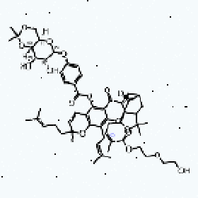 CC(C)=CCCC1(C)C=Cc2c(c(CC=C(C)C)c3c(c2OC(=O)c2ccc(O[C@@H]4O[C@@H]5COC(C)(C)O[C@H]5[C@H](O)[C@H]4O)cc2)C(=O)C2=CC4CC5C(C)(C)OC(C/C=C(/C)C(=O)OCCOCCO)(C4=O)C25O3)O1